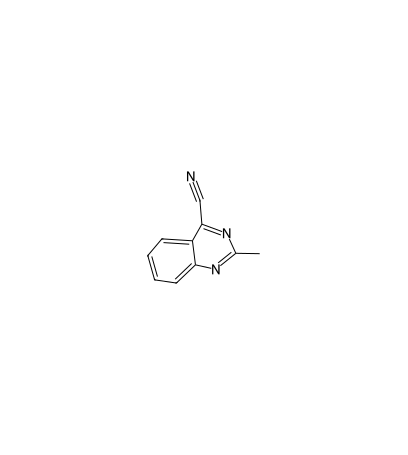 Cc1nc(C#N)c2ccccc2n1